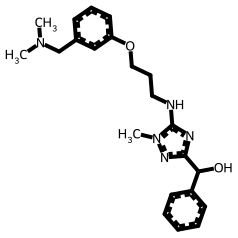 CN(C)Cc1cccc(OCCCNc2nc(C(O)c3ccccc3)nn2C)c1